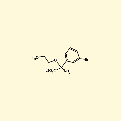 CCOC(=O)C(N)(OCCC(F)(F)F)c1cccc(Br)c1